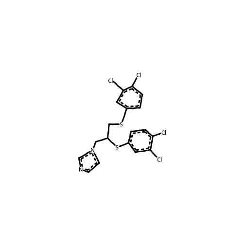 Clc1ccc(SCC(Cn2ccnc2)Sc2ccc(Cl)c(Cl)c2)cc1Cl